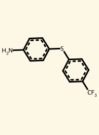 Nc1ccc(Sc2ccc(C(F)(F)F)cc2)cc1